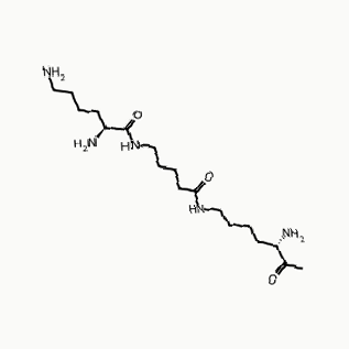 CC(=O)[C@@H](N)CCCCNC(=O)CCCCNC(=O)[C@@H](N)CCCCN